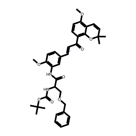 COc1ccc(/C=C/C(=O)c2ccc(OC)c3c2OC(C)(C)C=C3)cc1NC(=O)C(COCc1ccccc1)NC(=O)OC(C)(C)C